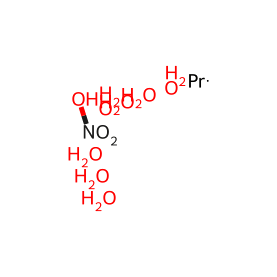 O.O.O.O.O.O.O.O=[N+]([O-])O.[Pr]